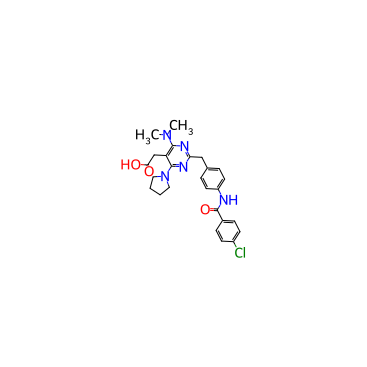 CN(C)c1nc(Cc2ccc(NC(=O)c3ccc(Cl)cc3)cc2)nc(N2CCCC2)c1CC(=O)O